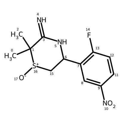 CC1(C)C(=N)NC(c2cc([N+](=O)[O-])ccc2F)C[S+]1[O-]